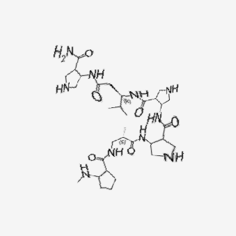 CNC1CCCC1C(=O)NC[C@H](C)C(=O)NC1CNCC1C(=O)NC1CNCC1C(=O)N[C@H](CC(=O)NC1CNCC1C(N)=O)C(C)C